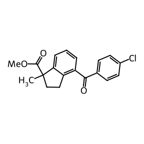 COC(=O)C1(C)CCc2c(C(=O)c3ccc(Cl)cc3)cccc21